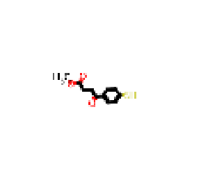 COC(=O)CCC(=O)c1ccc(S)cc1